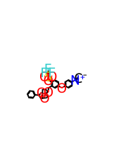 [C-]#[N+]c1ccc(Oc2ccc(OS(=O)(=O)C(F)(F)F)c(COB3OCC(c4ccccc4)O3)c2)cc1